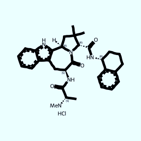 CN[C@@H](C)C(=O)N[C@H]1Cc2c([nH]c3ccccc23)[C@H]2CC(C)(C)[C@H](C(=O)N[C@@H]3CCCc4ccccc43)N2C1=O.Cl